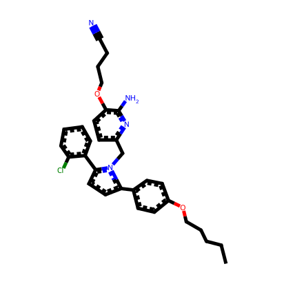 CCCCCOc1ccc(-c2ccc(-c3ccccc3Cl)n2Cc2ccc(OCCCC#N)c(N)n2)cc1